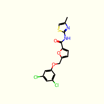 Cc1csc(NC(=O)c2ccc(COc3cc(Cl)cc(Cl)c3)o2)n1